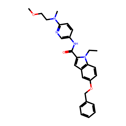 CCn1c(C(=O)Nc2ccc(N(C)CCOC)nc2)cc2cc(OCc3ccccc3)ccc21